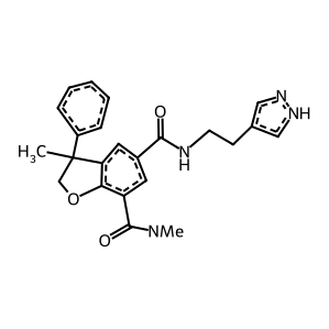 CNC(=O)c1cc(C(=O)NCCc2cn[nH]c2)cc2c1OCC2(C)c1ccccc1